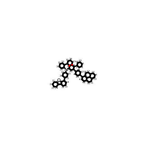 c1ccc(-c2ccc(N(c3ccc(-c4cccc5c4oc4ccccc45)cc3)c3ccccc3-c3ccccc3)cc2-c2ccc(-c3ccc4ccc5cccc6ccc3c4c56)cc2)cc1